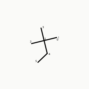 [CH]C(C)(C)CC